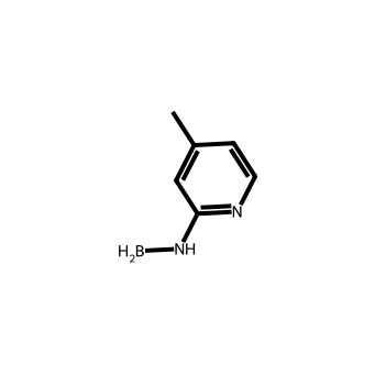 BNc1cc(C)ccn1